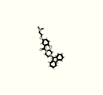 CN(C)CCOc1ccc(Cl)c(C(=O)N2CCN(C3c4ccccc4-c4ccccc43)CC2)c1